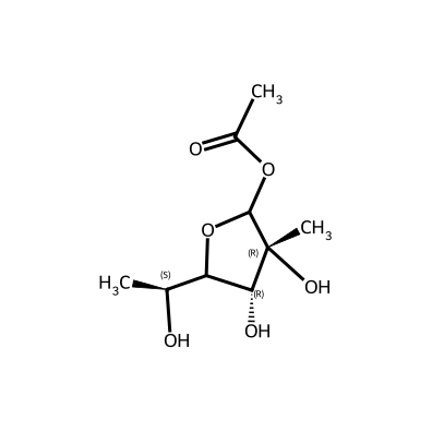 CC(=O)OC1OC([C@H](C)O)[C@@H](O)[C@@]1(C)O